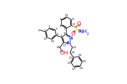 Cc1ccc(-c2c(-c3ccccc3S(N)(=O)=O)nn(CCc3ccccc3)c2CO)cc1